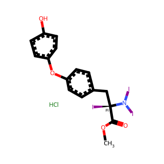 COC(=O)[C@](I)(Cc1ccc(Oc2ccc(O)cc2)cc1)N(I)I.Cl